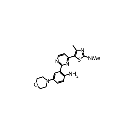 CNc1nc(C)c(-c2ccnc(-c3cc(N4CCOCC4)ccc3N)n2)s1